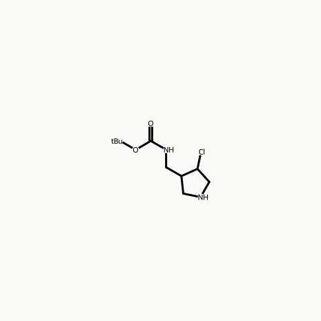 CC(C)(C)OC(=O)NCC1CNCC1Cl